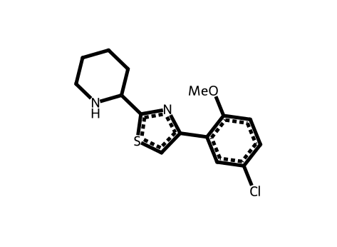 COc1ccc(Cl)cc1-c1csc(C2CCCCN2)n1